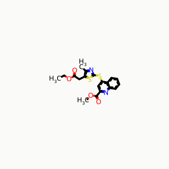 CCOC(=O)Cc1sc(Sc2cc(C(=O)OC)nc3ccccc23)nc1C